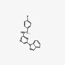 C[C@H](Nc1cncc(-n2ncc3ccccc32)n1)c1ccc(F)cc1